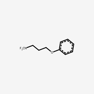 FC(F)(F)NCCCOc1ccccc1